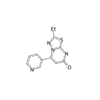 CCc1nn2c(-c3cccnc3)cc(=O)nc2s1